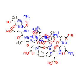 C[C@H](NC(=O)[C@H](Cc1c[nH]c2ccccc12)NC(=O)[C@H](CC(N)=O)NC(=O)[C@H](CCC(=O)O)NC(=O)[C@H](C)NC(=O)[C@H](CCC(=O)O)NC(=O)[C@H](CC(N)=O)NC(=O)[C@@H](N)[C@@H](C)O)C(=O)N[C@@H](CC(=O)O)C(=O)N[C@@H](CC(N)=O)C(=O)N[C@@H](CCC(=O)O)C(=O)N1CCC[C@H]1C(=O)N[C@@H](CC(N)=O)C(=O)N[C@@H](CC(N)=O)C(N)=O